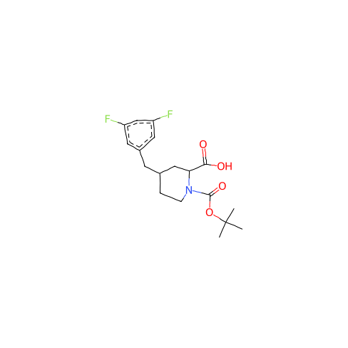 CC(C)(C)OC(=O)N1CCC(Cc2cc(F)cc(F)c2)CC1C(=O)O